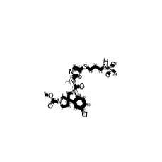 COC(=O)N1CCC2(C1)CN(C(=O)Nc1ncc(SCCCNS(C)(=O)=O)s1)c1ccc(Cl)cc12